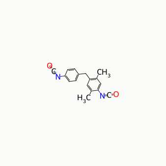 Cc1cc(N=C=O)c(C)cc1Cc1ccc(N=C=O)cc1